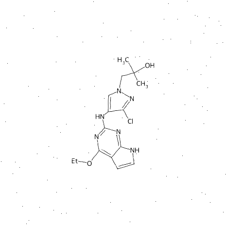 CCOc1nc(Nc2cn(CC(C)(C)O)nc2Cl)nc2[nH]ccc12